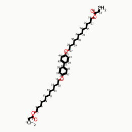 C=CC(=O)OCCCCCCCCCCCCOc1ccc(-c2ccc(OCCCCCCCCCCCCOC(=O)C=C)cc2)cc1